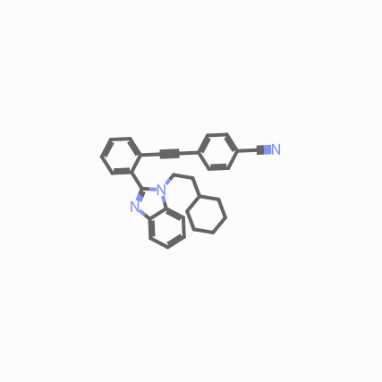 N#Cc1ccc(C#Cc2ccccc2-c2nc3ccccc3n2CCC2CCCCC2)cc1